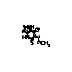 CCCn1c(=S)[nH]c2cc[nH]c2c1=O